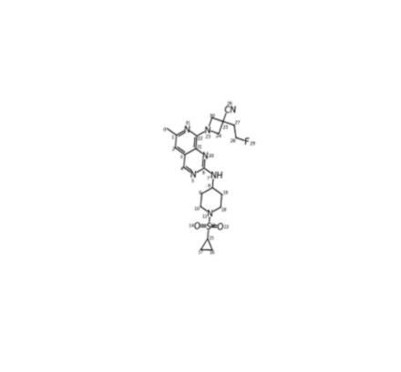 Cc1cc2cnc(NC3CCN(S(=O)(=O)C4CC4)CC3)nc2c(N2CC(C#N)(CCF)C2)n1